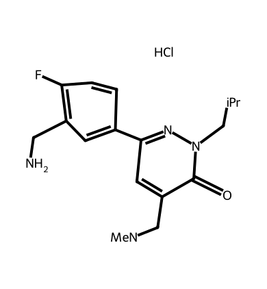 CNCc1cc(-c2ccc(F)c(CN)c2)nn(CC(C)C)c1=O.Cl